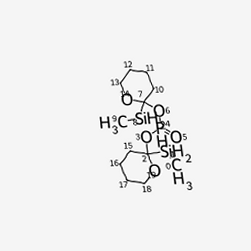 C[SiH2]C1(O[PH](=O)OC2([SiH2]C)CCCCO2)CCCCO1